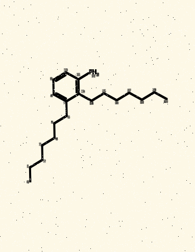 CCCCCCCc1cccc(P)c1CCCCCCC